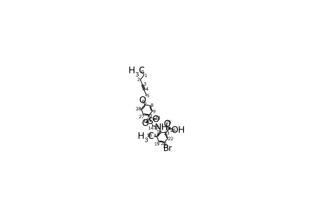 CCCC#CCOc1ccc(S(=O)(=O)CNc2c(C)cc(Br)cc2C(=O)O)cc1